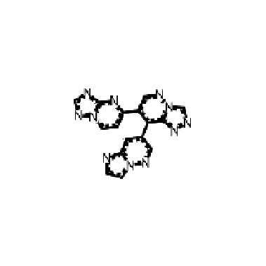 [c]1c(-c2c(-c3ccn4ncnc4n3)cnn3cnnc23)cnn2ccnc12